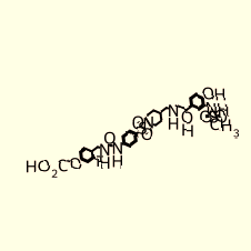 CS(=O)(=O)Nc1cc([C@@H](O)CNCC2CCN(S(=O)(=O)c3ccc(NC(=O)NCc4ccc(OCC(=O)O)cc4F)cc3)CC2)ccc1O